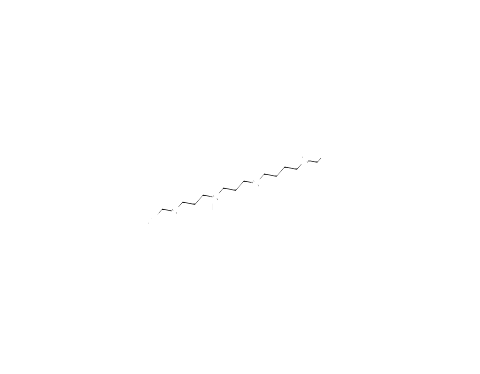 CCNCCCCNCCCNCCCNCC